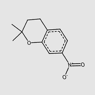 CC1(C)CCc2ccc([N+](=O)[O-])cc2O1